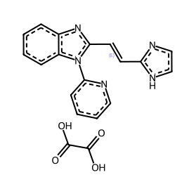 C(=C\c1nc2ccccc2n1-c1ccccn1)/c1ncc[nH]1.O=C(O)C(=O)O